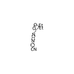 CCC1(CC)COCOC(CCN2CC3CN(c4ccc(C#N)cc4)CC3C2)C1